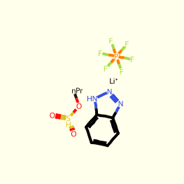 CCCO[SH](=O)=O.F[P-](F)(F)(F)(F)F.[Li+].c1ccc2[nH]nnc2c1